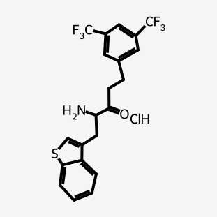 Cl.NC(Cc1csc2ccccc12)C(=O)CCc1cc(C(F)(F)F)cc(C(F)(F)F)c1